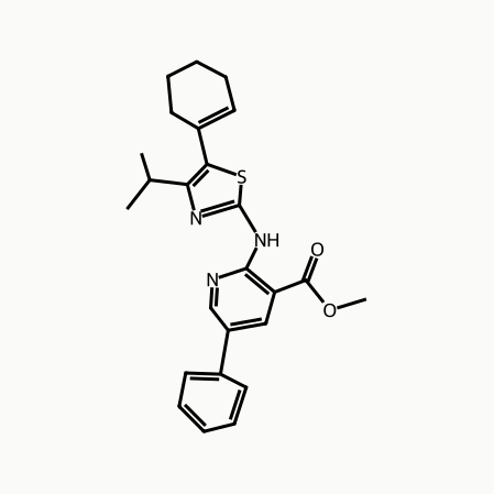 COC(=O)c1cc(-c2ccccc2)cnc1Nc1nc(C(C)C)c(C2=CCCCC2)s1